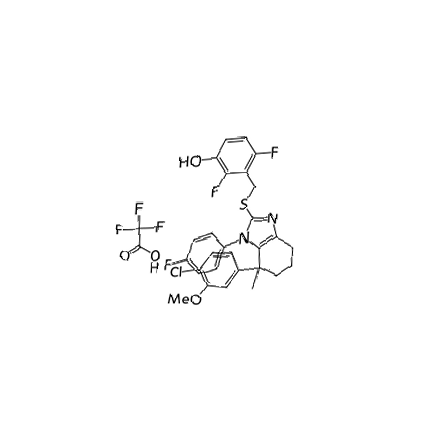 COc1cc(C2(C)CCCc3nc(SCc4c(F)ccc(O)c4F)n(-c4ccc(F)cc4)c32)ccc1Cl.O=C(O)C(F)(F)F